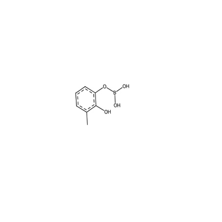 Cc1cccc(OB(O)O)c1O